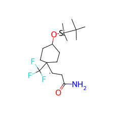 CC(C)(C)[Si](C)(C)OC1CCC([CH]CC(N)=O)(C(F)(F)F)CC1